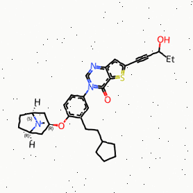 CCC(O)C#Cc1cc2ncn(-c3ccc(O[C@H]4C[C@H]5CC[C@@H](C4)N5C)c(CCC4CCCC4)c3)c(=O)c2s1